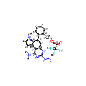 CN(C)c1nc(N)nc2cc(-c3ccccc3C(F)(F)F)c3c(ccn3C)c12.O=C(O)C(F)(F)F